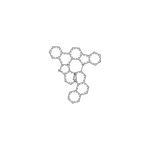 c1ccc2c(c1)ccc1cc(-n3c4ccccc4c4ccc5c6ccccc6c6nc7ccccc7n6c5c43)ccc12